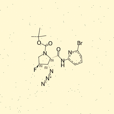 CC(C)(C)OC(=O)N1C[C@H](F)[C@@H](N=[N+]=[N-])[C@H]1C(=O)Nc1cccc(Br)n1